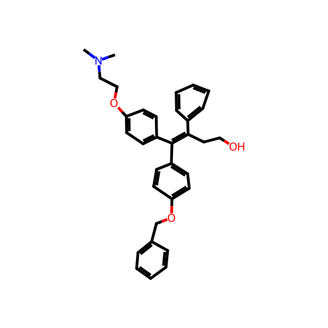 CN(C)CCOc1ccc(C(=C(CCO)c2ccccc2)c2ccc(OCc3ccccc3)cc2)cc1